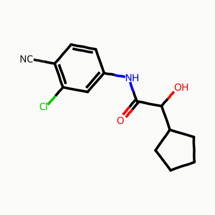 N#Cc1ccc(NC(=O)C(O)C2CCCC2)cc1Cl